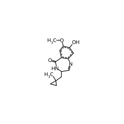 COc1cc2c(cc1O)N=CC(CC1(C)CC1)NC2=O